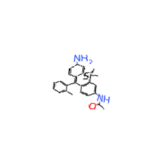 CC(=O)Nc1ccc2c(c1)[Si](C)(C)C1=CC(N)C=CC1=C2c1ccccc1C